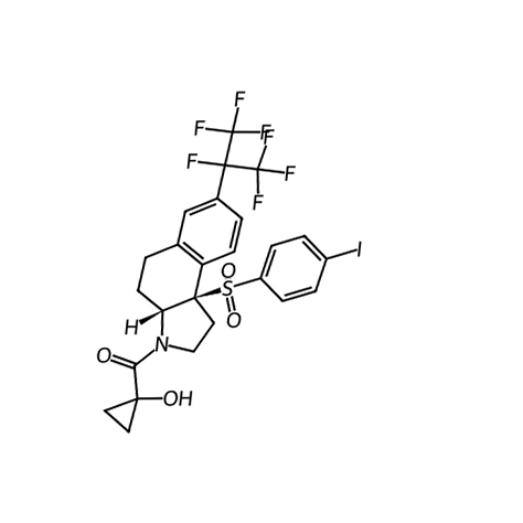 O=C(N1CC[C@@]2(S(=O)(=O)c3ccc(I)cc3)c3ccc(C(F)(C(F)(F)F)C(F)(F)F)cc3CC[C@@H]12)C1(O)CC1